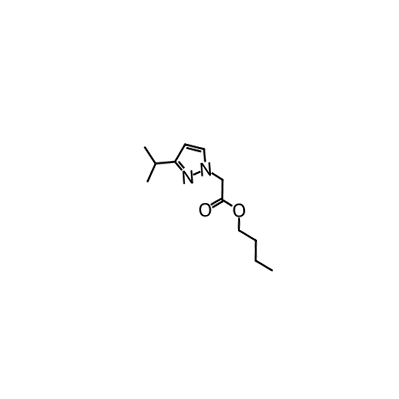 CCCCOC(=O)Cn1ccc(C(C)C)n1